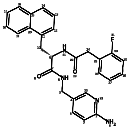 Nc1ccc(CNC(=O)[C@H](Cc2cccc3ccccc23)NC(=O)Cc2ccccc2F)cn1